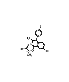 Cc1nc(O[C@@H](C)C(=O)O)c2cc(O)ccc2c1-c1ccc(F)cc1